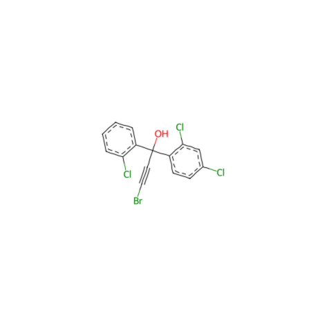 OC(C#CBr)(c1ccccc1Cl)c1ccc(Cl)cc1Cl